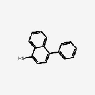 Sc1ccc(-c2ccccc2)c2ccccc12